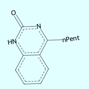 CCCCCc1nc(=O)[nH]c2ccccc12